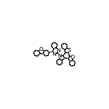 c1ccc2c(-c3ccc4c(c3)oc3ccccc34)nc(-n3c4ccccc4c4c5c6ccccc6oc5c5sc6ccccc6c5c43)nc2c1